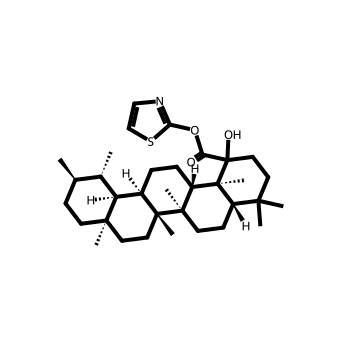 C[C@@H]1[C@H]2[C@H]3CC[C@@H]4[C@]5(C)[C@@H](CC[C@@]4(C)[C@]3(C)CC[C@@]2(C)CC[C@H]1C)C(C)(C)CCC5(O)C(=O)Oc1nccs1